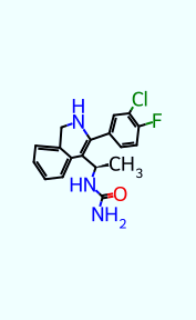 C[C@@H](NC(N)=O)C1=C(c2ccc(F)c(Cl)c2)NCc2ccccc21